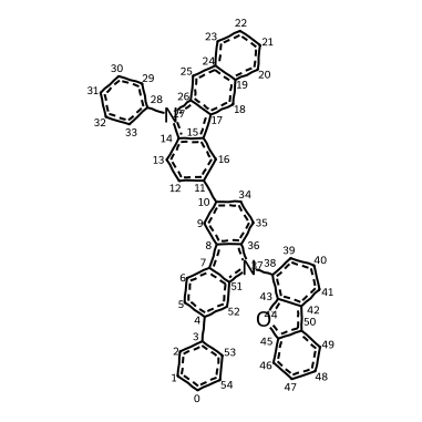 c1ccc(-c2ccc3c4cc(-c5ccc6c(c5)c5cc7ccccc7cc5n6-c5ccccc5)ccc4n(-c4cccc5c4oc4ccccc45)c3c2)cc1